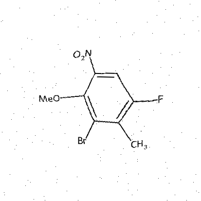 COc1c([N+](=O)[O-])cc(F)c(C)c1Br